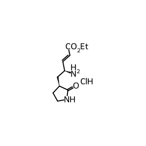 CCOC(=O)/C=C/[C@@H](N)C[C@@H]1CCNC1=O.Cl